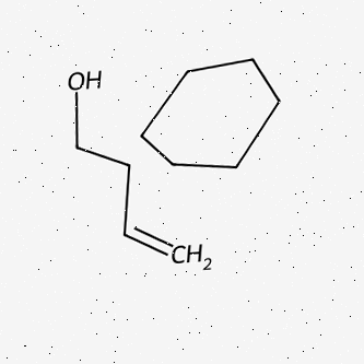 C1CCCCC1.C=CCCO